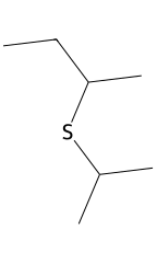 CCC(C)SC(C)C